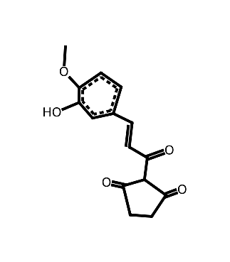 COc1ccc(/C=C/C(=O)C2C(=O)CCC2=O)cc1O